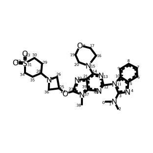 CN(C)c1nc2ccccc2n1-c1nc(N2CCOCC2)c2nc(OC3CN(C4CCS(=O)(=O)CC4)C3)n(C)c2n1